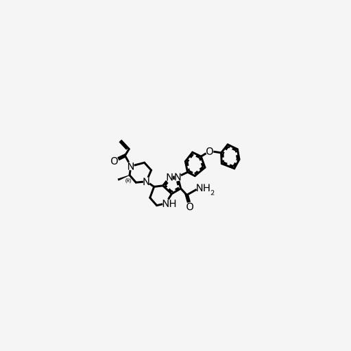 C=CC(=O)N1CCN(C2CCNc3c2nn(-c2ccc(Oc4ccccc4)cc2)c3C(N)=O)C[C@H]1C